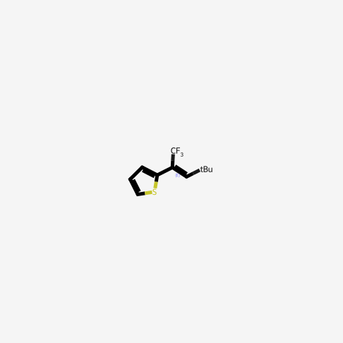 CC(C)(C)/C=C(/c1cccs1)C(F)(F)F